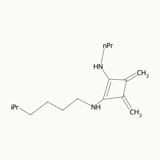 C=C1C(=C)C(NCCCCC(C)C)=C1NCCC